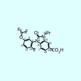 CC(C)n1c(=O)n(-c2cc(OC(F)F)ccc2F)c2ccc(C(=O)O)cc21